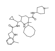 Cc1cccc2c1NC(C(=O)NC(C1CC1)C1NC(C)(C3CCCCCCC3)C(C(=O)NC3CCN(C)CC3)CC1C)C2